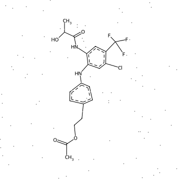 CC(=O)OCCc1ccc(Nc2cc(Cl)c(C(F)(F)F)cc2NC(=O)C(C)O)cc1